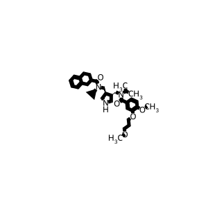 COCCCOc1cc(C(=O)N(C[C@@H]2CNC[C@H]2CN(C(=O)C2CCc3ccccc3C2)C2CC2)C(C)C)ccc1OC